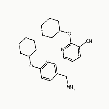 N#Cc1cccnc1OC1CCCCC1.NCc1ccc(OC2CCCCC2)nc1